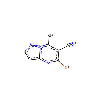 Cc1c(C#N)c(S)nc2ccnn12